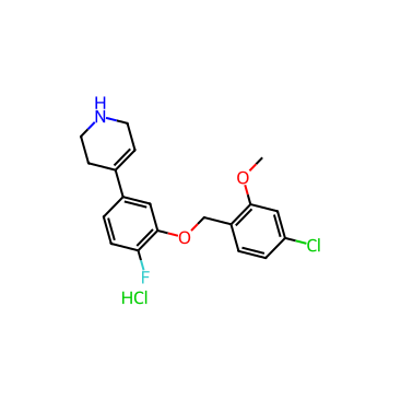 COc1cc(Cl)ccc1COc1cc(C2=CCNCC2)ccc1F.Cl